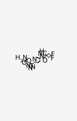 Cn1nnc(-c2ccc(NC(=O)C3(C#N)CC(F)(F)C3)cn2)c1OC(N)=O